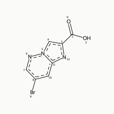 O=C(O)c1cn2ncc(Br)cc2n1